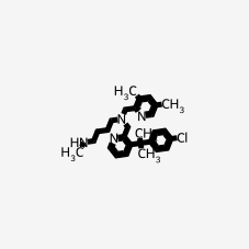 CNCCCCN(Cc1ncc(C)cc1C)Cc1ncccc1C(C)(C)c1ccc(Cl)cc1